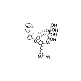 Cc1c(COc2cc(OCc3cncc(C#N)c3)c(CN(C)C[C@@H](O)C([SiH3])[C@H](O)[C@@H](O)[C@@H](O)CO)cc2Cl)cccc1-c1ccc2c(c1)OCCO2